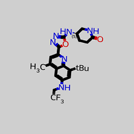 Cc1cc(-c2nnc(N[C@H]3CCC(=O)NC3)o2)nc2c(C(C)(C)C)cc(NCC(F)(F)F)cc12